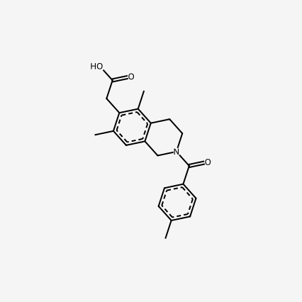 Cc1ccc(C(=O)N2CCc3c(cc(C)c(CC(=O)O)c3C)C2)cc1